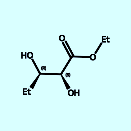 CCOC(=O)[C@@H](O)[C@H](O)CC